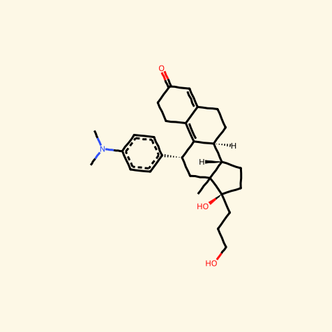 CN(C)c1ccc([C@H]2CC3(C)[C@@H](CC[C@]3(O)CCCO)[C@@H]3CCC4=CC(=O)CCC4=C32)cc1